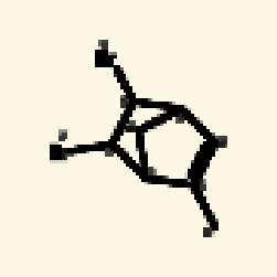 CC1=CC2CC1C(Br)C2Br